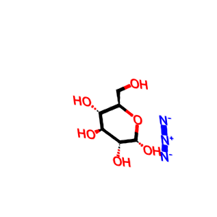 OC[C@H]1O[C@H](O)[C@H](O)[C@@H](O)[C@@H]1O.[N-]=[N+]=[N-]